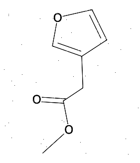 COC(=O)Cc1ccoc1